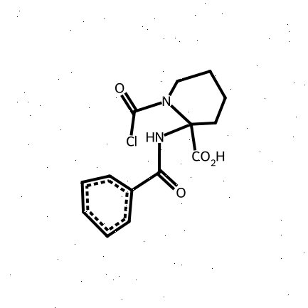 O=C(NC1(C(=O)O)CCCCN1C(=O)Cl)c1ccccc1